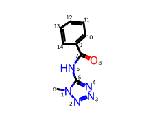 Cn1nnnc1NC(=O)c1ccccc1